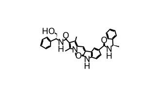 Cc1c(C(=O)N[C@@H](CO)c2ccccc2)c(C)n(C)c1/C=C1\C(=O)Nc2ccc(C(=O)N[C@H](C)c3ccccc3)cc21